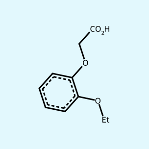 CCOc1ccccc1OCC(=O)O